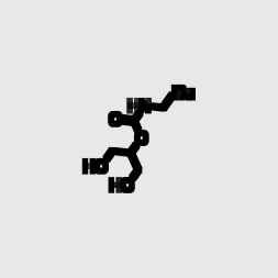 CCC(C)CNC(=O)OC(CO)CO